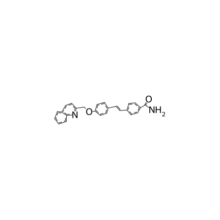 NC(=O)c1ccc(C=Cc2ccc(OCc3ccc4ccccc4n3)cc2)cc1